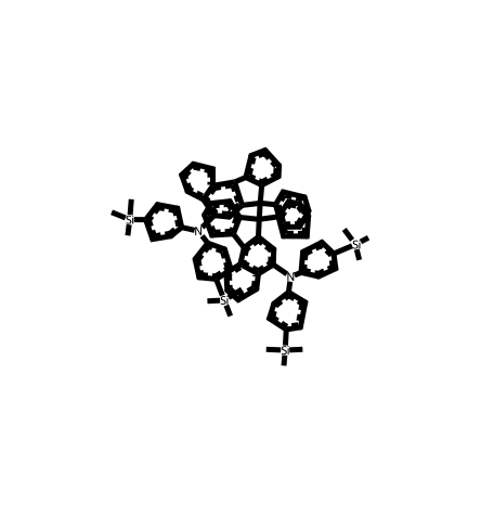 C[Si](C)(C)c1ccc(N(c2ccc([Si](C)(C)C)cc2)c2cc3c(c4ccccc24)-c2ccccc2C3(c2ccccc2)C2(c3ccccc3)c3ccccc3-c3c2cc(N(c2ccc([Si](C)(C)C)cc2)c2ccc([Si](C)(C)C)cc2)c2ccccc32)cc1